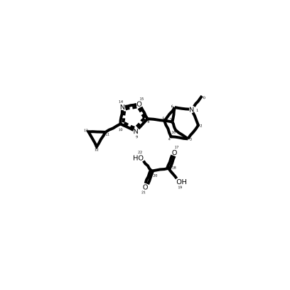 CN1CC2CCC1C(c1nc(C3CC3)no1)C2.O=C(O)C(=O)O